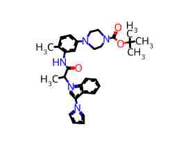 Cc1ccc(N2CCN(C(=O)OC(C)(C)C)CC2)cc1NC(=O)C(C)n1cc(-n2cccc2)c2ccccc21